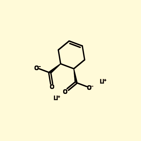 O=C([O-])[C@H]1CC=CC[C@H]1C(=O)[O-].[Li+].[Li+]